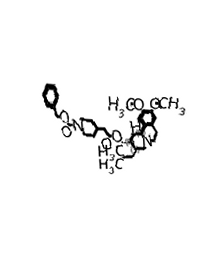 COc1cc2c(cc1OC)[C@H]1C[C@@H](COC(=O)CC3CCN(C(=O)OCc4ccccc4)CC3)[C@H](CC(C)C)CN1CC2